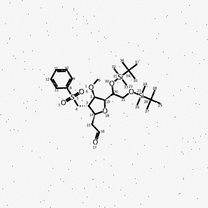 CO[C@@H]1[C@@H](CS(=O)(=O)c2ccccc2)[C@H](CC=O)O[C@@H]1C(CO[Si](C)(C)C(C)(C)C)O[Si](C)(C)C(C)(C)C